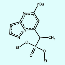 CCCCc1cc(C(C)P(=O)(OCC)OCC)n2nccc2n1